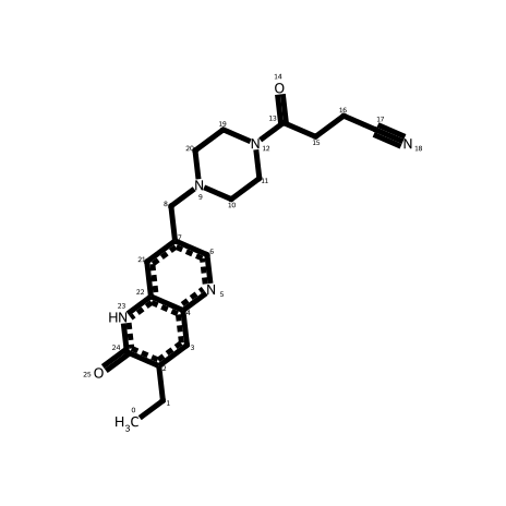 CCc1cc2ncc(CN3CCN(C(=O)CCC#N)CC3)cc2[nH]c1=O